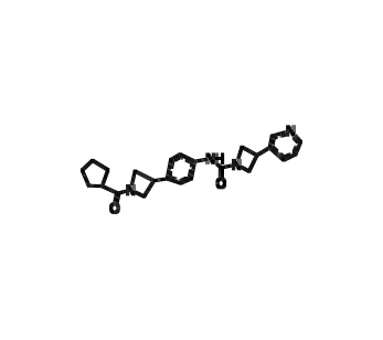 O=C(Nc1ccc(C2CN(C(=O)C3CCCC3)C2)cc1)N1CC(c2cccnc2)C1